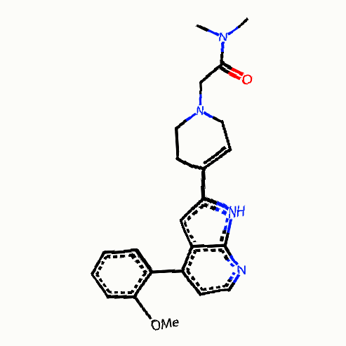 COc1ccccc1-c1ccnc2[nH]c(C3=CCN(CC(=O)N(C)C)CC3)cc12